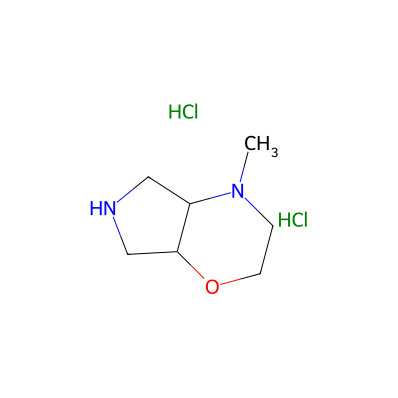 CN1CCOC2CNCC21.Cl.Cl